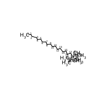 CCCCCCCCCCCCCCCCCCN([Si](C)(C)C)[Si](C)(C)C